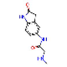 CNCC(=O)Nc1ccc2c(c1)CC(=O)N2